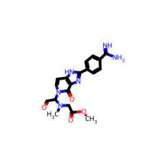 COC(=O)CN(C)C(C=O)n1ccc2[nH]c(-c3ccc(C(=N)N)cc3)nc2c1=O